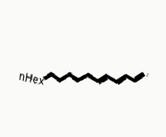 [C]=CC=CC=CCCCCCCCCCCC